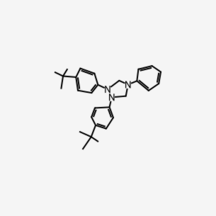 CC(C)(C)c1ccc(N2CN(c3ccccc3)CN2c2ccc(C(C)(C)C)cc2)cc1